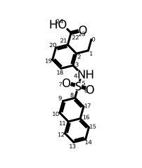 CCc1c(NS(=O)(=O)c2ccc3ccccc3c2)cccc1C(=O)O